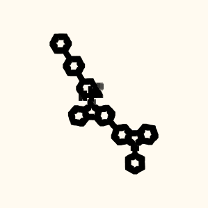 C1=NC2(n3c4ccccc4c4cc(-c5ccc6c(c5)c5ccccc5n6-c5ccccc5)ccc43)C[C@@H]2C=C1c1ccc(-c2ccccc2)cc1